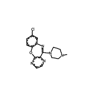 CN1CCN(C2=Nc3cc(Cl)ccc3Oc3nccnc32)CC1